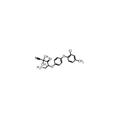 CCC(Oc1ccc(Oc2ccc(C)cc2Cl)cc1)C(=O)C(C)(C)C#N